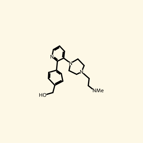 CNCCN1CCN(c2cccnc2-c2ccc(CO)cc2)CC1